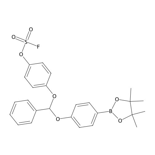 CC1(C)OB(c2ccc(OC(Oc3ccc(OS(=O)(=O)F)cc3)c3ccccc3)cc2)OC1(C)C